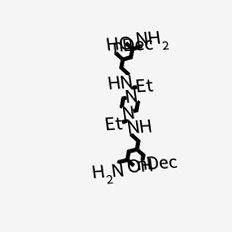 CCCCCCCCCCCC(CCNC(CC)N1CCN(C(CC)NCCC(CCCCCCCCCCC)CC(O)CN)CC1)CC(O)CN